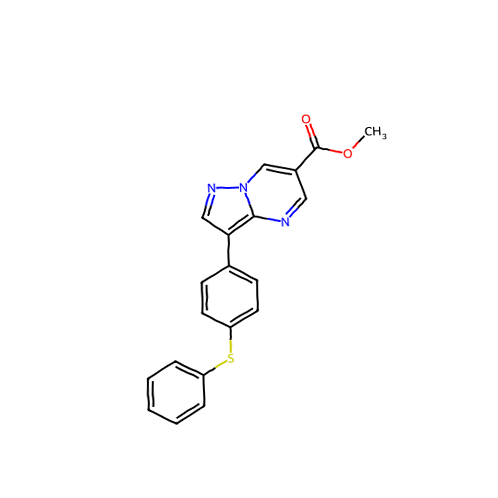 COC(=O)c1cnc2c(-c3ccc(Sc4ccccc4)cc3)cnn2c1